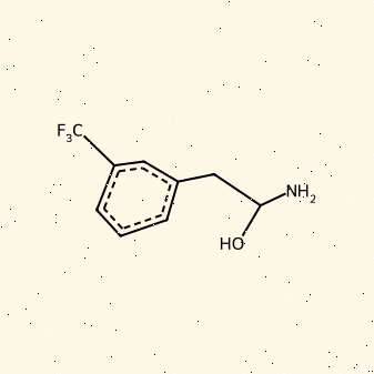 NC(O)Cc1cccc(C(F)(F)F)c1